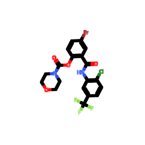 O=C(Nc1cc(C(F)(F)F)ccc1Cl)c1cc(Br)ccc1OC(=O)N1CCOCC1